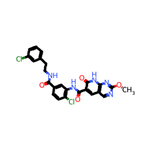 COc1ncc2cc(C(=O)Nc3cc(C(=O)NCCc4cccc(Cl)c4)ccc3Cl)c(=O)[nH]c2n1